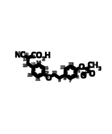 CS(=O)(=O)Oc1ccc(CCOc2ccc(CC(C#N)C(=O)O)cc2)cc1